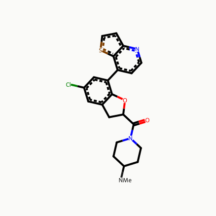 CNC1CCN(C(=O)C2Cc3cc(Cl)cc(-c4ccnc5ccsc45)c3O2)CC1